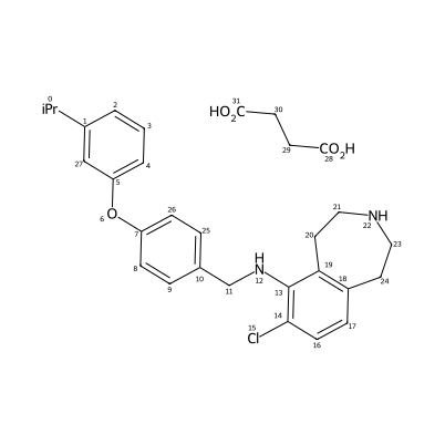 CC(C)c1cccc(Oc2ccc(CNc3c(Cl)ccc4c3CCNCC4)cc2)c1.O=C(O)CCC(=O)O